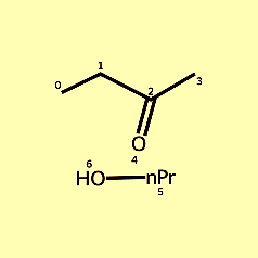 CCC(C)=O.CCCO